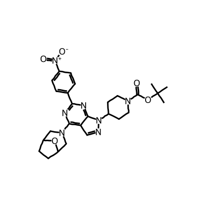 CC(C)(C)OC(=O)N1CCC(n2ncc3c(N4CC5CCC(C4)O5)nc(-c4ccc([N+](=O)[O-])cc4)nc32)CC1